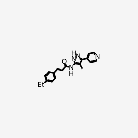 CCc1ccc(CCC(=O)Nc2[nH]nc(-c3ccncc3)c2C)cc1